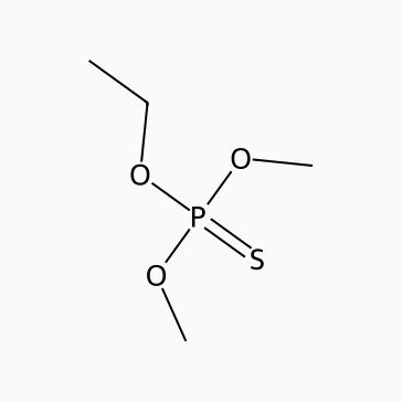 CCOP(=S)(OC)OC